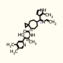 C=C/N=C(\c1cc[nH]c1C)C1CC[C@H](C(=O)N[C@@H](C)[C@@H](O)c2cc(C)c(C)cn2)C2(CC1)CC2